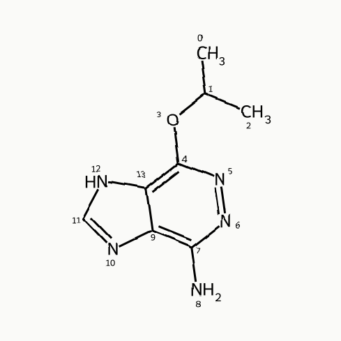 CC(C)Oc1nnc(N)c2nc[nH]c12